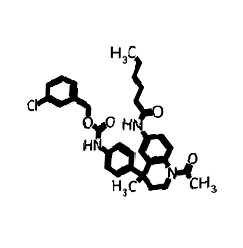 CCCCCC(=O)Nc1ccc2c(c1)C(C)(c1ccc(NC(=O)OCc3cccc(Cl)c3)cc1)CCN2C(C)=O